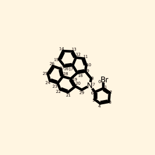 Brc1ccccc1N1Cc2ccc3ccccc3c2-c2c(ccc3ccccc23)C1